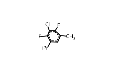 Cc1cc(C(C)C)c(F)c(Cl)c1F